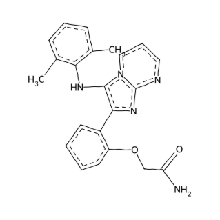 Cc1cccc(C)c1Nc1c(-c2ccccc2OCC(N)=O)nc2ncccn12